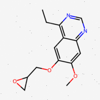 CCc1ncnc2cc(OC)c(OCC3CO3)cc12